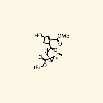 C=C[C@@H]1C[C@@]1(NC(=O)C1CC(O)C=C1C(=O)OC)C(=O)OC(C)(C)C